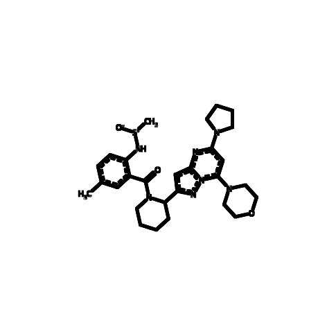 Cc1ccc(N[S+](C)[O-])c(C(=O)N2CCCCC2c2cc3nc(N4CCCC4)cc(N4CCOCC4)n3n2)c1